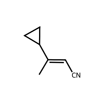 CC(=CC#N)C1CC1